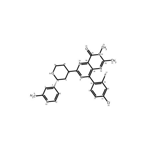 Cc1cc([C@H]2CC(c3nc(-c4ccc(Cl)cc4F)c4nc(C)n(C)c(=O)c4n3)CCO2)ccn1